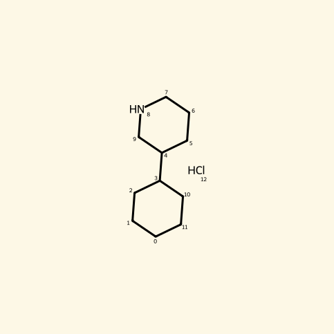 C1CCC(C2CCCNC2)CC1.Cl